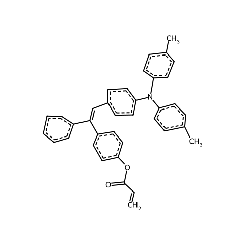 C=CC(=O)Oc1ccc(/C(=C\c2ccc(N(c3ccc(C)cc3)c3ccc(C)cc3)cc2)c2ccccc2)cc1